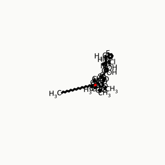 CCCCCCCCCCCCCCCCCC(=O)OC[C@@H](OC(C)=O)[C@H]1O[C@@H](OP(=O)(O)OP(O)(=S)OC[C@H]2O[C@@H](n3ncc4c(NC(C)c5ccccc5F)nc(Cl)nc43)[C@H](O)[C@@H]2O)[C@@H](OC(C)=O)[C@@H](OC(C)=O)[C@@H]1OC(C)=O